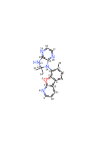 Cc1ccc2c(oc3ncccc32)c1N1c2nccnc2NC1(C)C